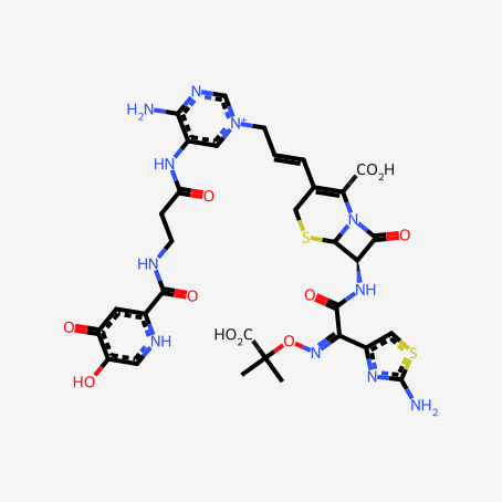 CC(C)(O/N=C(\C(=O)N[C@@H]1C(=O)N2C(C(=O)O)=C(/C=C/C[n+]3cnc(N)c(NC(=O)CCNC(=O)c4cc(=O)c(O)c[nH]4)c3)CSC12)c1csc(N)n1)C(=O)O